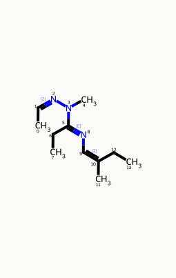 C/C=N\N(C)/C(CC)=N/C=C(/C)CC